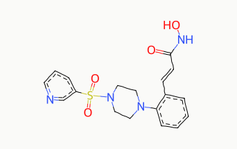 O=C(C=Cc1ccccc1N1CCN(S(=O)(=O)c2cccnc2)CC1)NO